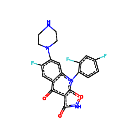 O=c1[nH]oc2c1c(=O)c1cc(F)c(N3CCNCC3)cc1n2-c1ccc(F)cc1F